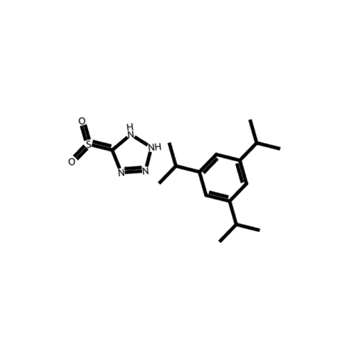 CC(C)c1cc(C(C)C)cc(C(C)C)c1.O=S(=O)=c1nn[nH][nH]1